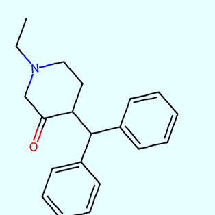 CCN1CCC(C(c2ccccc2)c2ccccc2)C(=O)C1